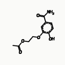 CC(=O)OCCOc1cc(C(N)=O)ccc1O